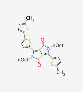 CCCCCCCCN1C(=O)C2=C(c3ccc(-c4ccc(C)s4)s3)N(CCCCCCCC)C(=O)C2=C1c1ccc(C)s1